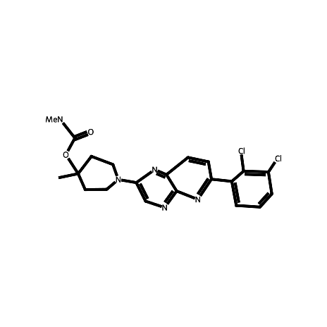 CNC(=O)OC1(C)CCN(c2cnc3nc(-c4cccc(Cl)c4Cl)ccc3n2)CC1